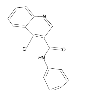 O=C(Nc1ccccc1)c1cnc2ccccc2c1Cl